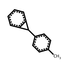 Cc1ccc(C2c3ccccc32)cc1